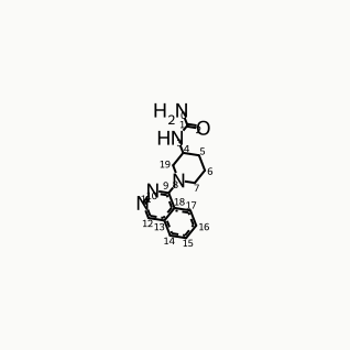 NC(=O)NC1CCCN(c2nncc3ccccc23)C1